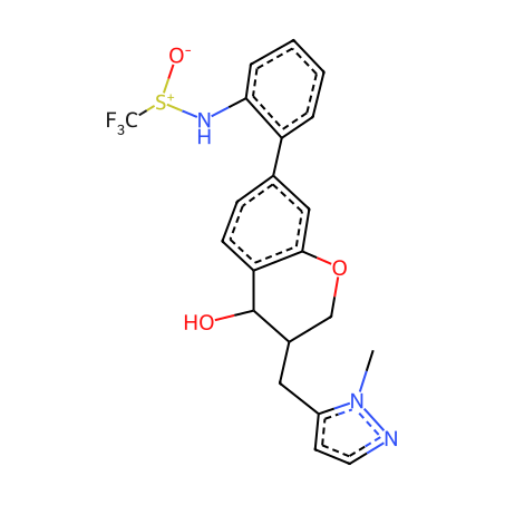 Cn1nccc1CC1COc2cc(-c3ccccc3N[S+]([O-])C(F)(F)F)ccc2C1O